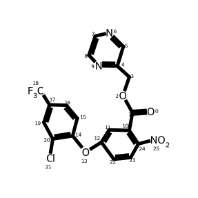 O=C(OCc1cnccn1)c1cc(Oc2ccc(C(F)(F)F)cc2Cl)ccc1[N+](=O)[O-]